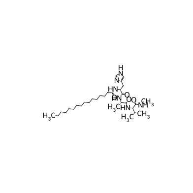 CCCCCCCCCCCCCCCC(=O)N[C@@H](Cc1c[nH]cn1)C(=O)N[C@@H](C)C(=O)N[C@H](C(=O)NC)C(C)C